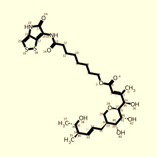 C/C(=C\C(=O)OCCCCCCCC(=O)Nc1c2sscc-2[nH]c1=O)[C@@H](O)[C@@H]1OC[C@H](C/C=C/[C@@H](C)[C@H](C)O)[C@@H](O)[C@H]1O